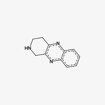 c1ccc2nc3c(nc2c1)CCNC3